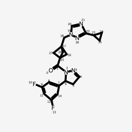 O=C(N1N=CCC1c1cc(F)cc(F)c1)C12CC(Cn3cnc(C4CC4)n3)(C1)C2